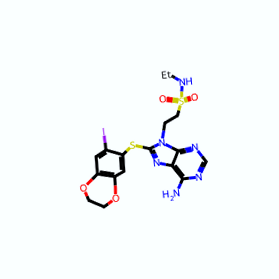 CCNS(=O)(=O)CCn1c(Sc2cc3c(cc2I)OCCO3)nc2c(N)ncnc21